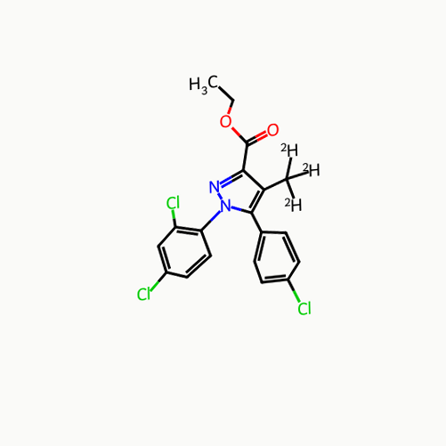 [2H]C([2H])([2H])c1c(C(=O)OCC)nn(-c2ccc(Cl)cc2Cl)c1-c1ccc(Cl)cc1